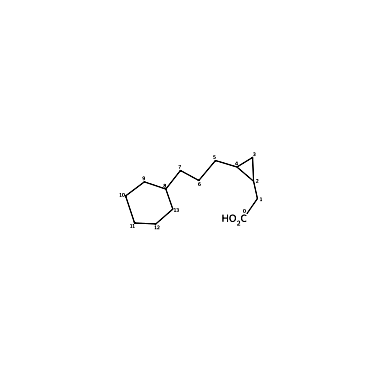 O=C(O)CC1CC1CCCC1CCCCC1